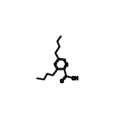 CCCCc1cnc(C(=O)O)c(CCCC)c1